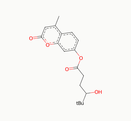 Cc1cc(=O)oc2cc(OC(=O)CCC(O)C(C)(C)C)ccc12